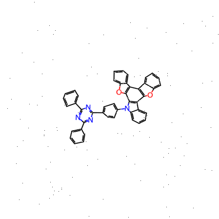 c1ccc(-c2nc(-c3ccccc3)nc(-c3ccc(-n4c5ccccc5c5c6oc7ccccc7c6c6c7ccccc7oc6c54)cc3)n2)cc1